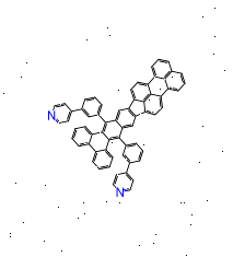 c1cc(-c2ccncc2)cc(-c2c3cc4c(cc3c(-c3cccc(-c5ccncc5)c3)c3c5ccccc5c5ccccc5c23)-c2ccc3c5cccc6cccc(c7ccc-4c2c73)c65)c1